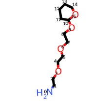 NCCOCCOCCOC1CCCCO1